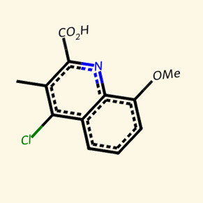 COc1cccc2c(Cl)c(C)c(C(=O)O)nc12